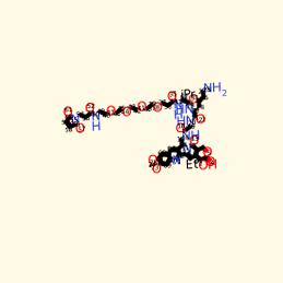 CC[C@@]1(O)C(=O)OCc2c1cc1n(c2=O)C(CNC(=O)CNC(=O)[C@H](CCCCN)NC(=O)[C@@H](NC(=O)CCOCCOCCOCCOCCNC(=O)CCN2C(=O)C=CC2=O)C(C)C)c2cc3cc4c(cc3nc2-1)OCO4